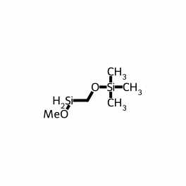 CO[SiH2]CO[Si](C)(C)C